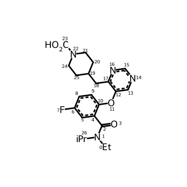 CCN(C(=O)c1cc(F)ccc1Oc1cncnc1CC1CCN(C(=O)O)CC1)C(C)C